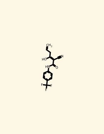 C=CCC(O)=C(C#N)C(=O)Nc1ccc(C(F)(F)F)cc1